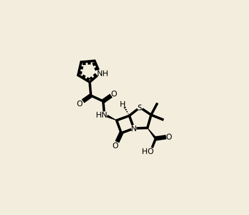 CC1(C)S[C@@H]2[C@H](NC(=O)C(=O)c3ccc[nH]3)C(=O)N2[C@@H]1C(=O)O